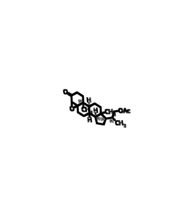 CC(=O)OC[C@@H](C)[C@H]1CC[C@H]2[C@@H]3CCC45OC4C(=O)CC[C@]5(C)[C@H]3CC[C@]12C